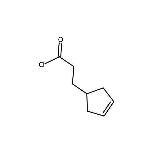 O=C(Cl)CCC1CC=CC1